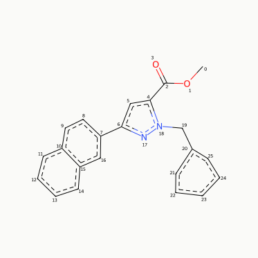 COC(=O)c1cc(-c2ccc3ccccc3c2)nn1Cc1ccccc1